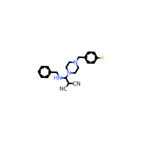 N#CC(C#N)C(NCc1ccccc1)N1CCN(Cc2ccc(F)cc2)CC1